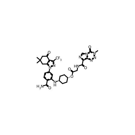 Cn1nnc2c(C(=O)NCC(=O)O[C@H]3CC[C@H](Nc4cc(-n5nc(C(F)(F)F)c6c5CC(C)(C)CC6=O)ccc4C(N)=O)CC3)ncn2c1=O